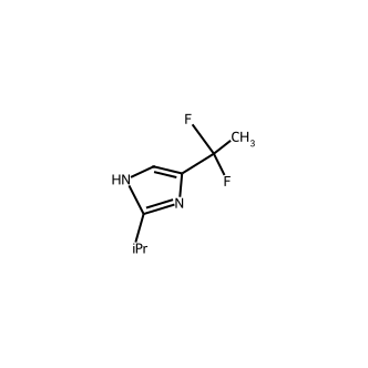 CC(C)c1nc(C(C)(F)F)c[nH]1